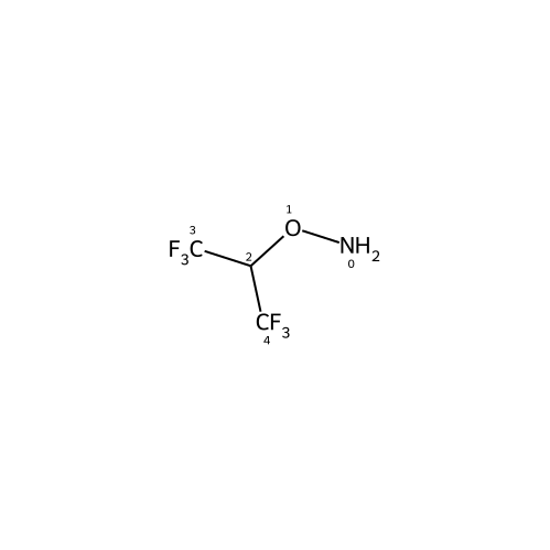 NOC(C(F)(F)F)C(F)(F)F